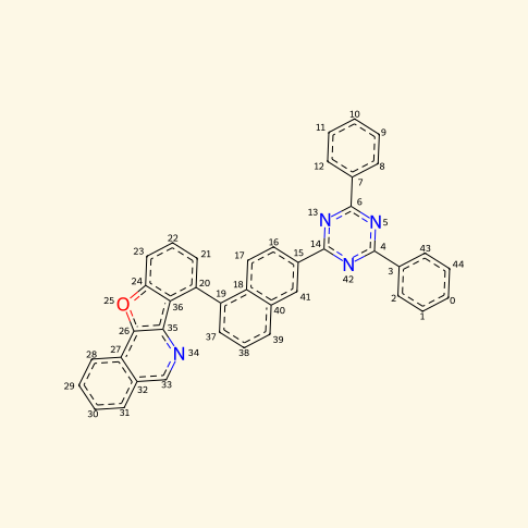 c1ccc(-c2nc(-c3ccccc3)nc(-c3ccc4c(-c5cccc6oc7c8ccccc8cnc7c56)cccc4c3)n2)cc1